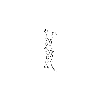 CCCCCCOc1ccc(-c2ccc(C(=O)Oc3ccc4cc(-c5ccc(-c6ccc(CCC)cc6)cc5)ccc4c3-c3c(OC(=O)c4ccc(-c5ccc(OCCCCCC)c(F)c5)cc4)ccc4cc(-c5ccc(-c6ccc(CCC)cc6)cc5)ccc34)cc2)cc1F